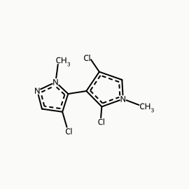 Cn1cc(Cl)c(-c2c(Cl)cnn2C)c1Cl